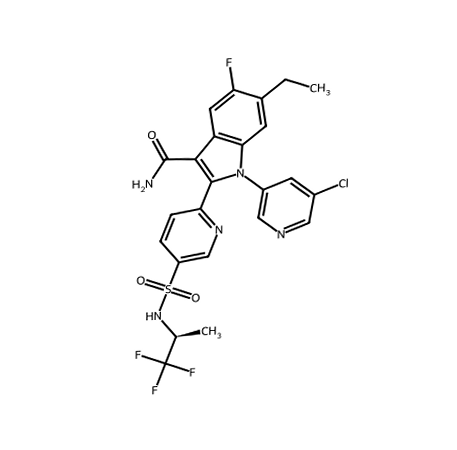 CCc1cc2c(cc1F)c(C(N)=O)c(-c1ccc(S(=O)(=O)N[C@@H](C)C(F)(F)F)cn1)n2-c1cncc(Cl)c1